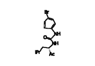 [CH2]C(=O)[C@H](CC(C)C)NC(=O)Nc1ccc(Br)cc1